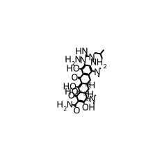 CC(C)CN(N)C(=N)N(N)c1cc(N(C)C)c2c(c1O)C(=O)C1=C(O)[C@]3(O)C(=O)C(C(N)=O)=C(O)[C@@H](N(C)C)[C@@H]3C[C@@H]1C2